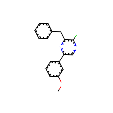 COc1cccc(-c2cnc(Cl)c(Cc3ccccc3)n2)c1